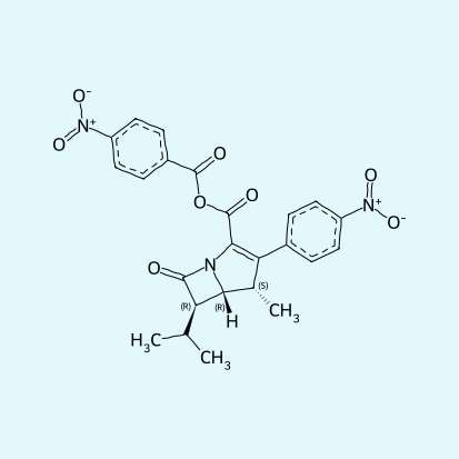 CC(C)[C@H]1C(=O)N2C(C(=O)OC(=O)c3ccc([N+](=O)[O-])cc3)=C(c3ccc([N+](=O)[O-])cc3)[C@H](C)[C@H]12